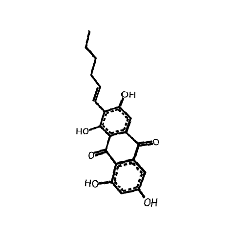 CCCCC=Cc1c(O)cc2c(c1O)C(=O)c1c(O)cc(O)cc1C2=O